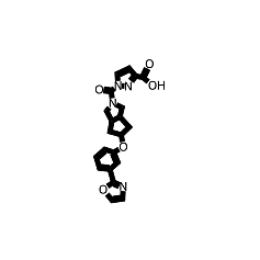 O=C(O)c1ccn(C(=O)N2CC3CC(Oc4cccc(-c5ncco5)c4)CC3C2)n1